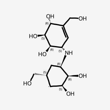 OCC1=C[C@H](N[C@@H]2C[C@@H](CO)[CH][C@H](O)[C@@H]2O)[C@@H](O)[C@@H](O)[C@@H]1O